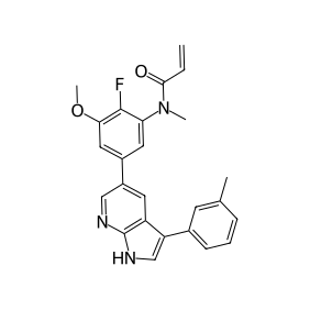 C=CC(=O)N(C)c1cc(-c2cnc3[nH]cc(-c4cccc(C)c4)c3c2)cc(OC)c1F